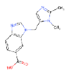 Cc1ncc(Cn2cnc3ccc(C(=O)O)cc32)n1C